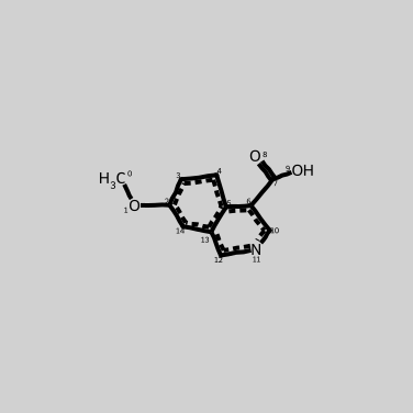 COc1ccc2c(C(=O)O)cncc2c1